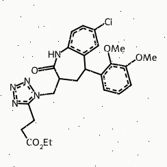 CCOC(=O)CCc1nnnn1CC1CC(c2cccc(OC)c2OC)c2cc(Cl)ccc2NC1=O